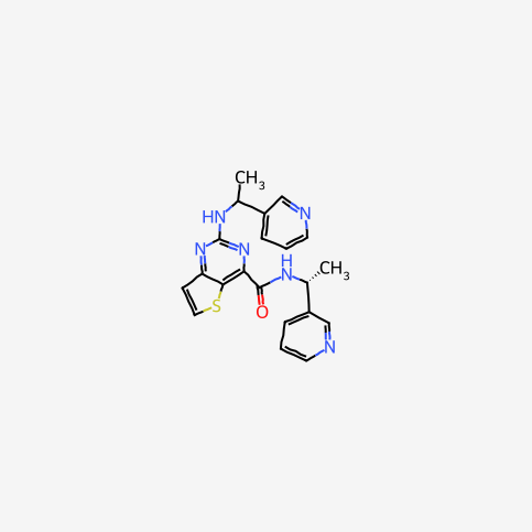 CC(Nc1nc(C(=O)N[C@H](C)c2cccnc2)c2sccc2n1)c1cccnc1